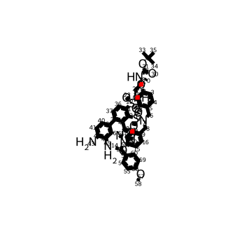 COc1ccc(CN(Cc2ccc(OC)cc2)S(=O)(=O)c2c(S(=O)(=O)NCCNC(=O)OC(C)(C)C)ccc(-c3ccc(N)c(N)c3)c2-c2nnn(Cc3ccc(OC)cc3)n2)cc1